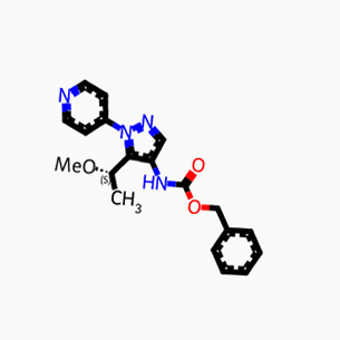 CO[C@@H](C)c1c(NC(=O)OCc2ccccc2)cnn1-c1ccncc1